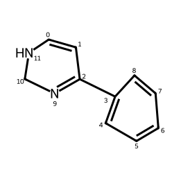 C1=CC(c2ccccc2)=NCN1